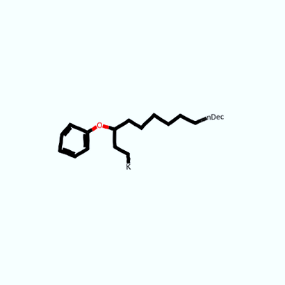 CCCCCCCCCCCCCCCCC(C[CH2][K])Oc1ccccc1